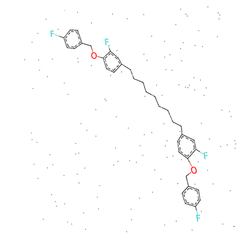 Fc1ccc(COc2ccc(CCCCCCCCCc3ccc(OCc4ccc(F)cc4)c(F)c3)cc2F)cc1